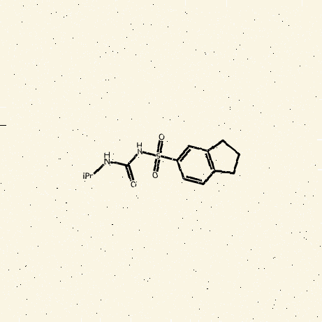 CC(C)NC(=O)NS(=O)(=O)c1ccc2c(c1)CCC2